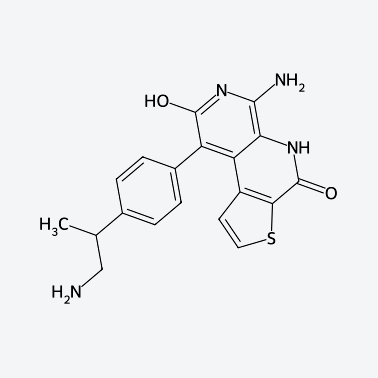 CC(CN)c1ccc(-c2c(O)nc(N)c3[nH]c(=O)c4sccc4c23)cc1